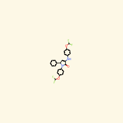 O=C1C(Nc2ccc(OC(F)F)cc2)=CC(c2ccccc2)N1c1ccc(OC(F)F)cc1